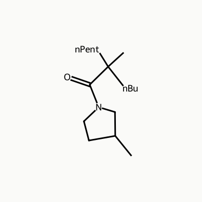 CCCCCC(C)(CCCC)C(=O)N1CCC(C)C1